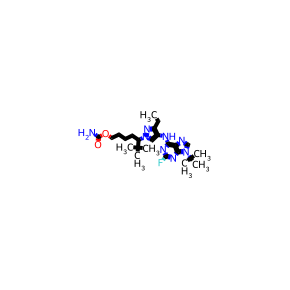 CCc1nn(C(CCCCOC(N)=O)C(C)(C)C)cc1Nc1nc(F)nc2c1ncn2C(C)(C)C